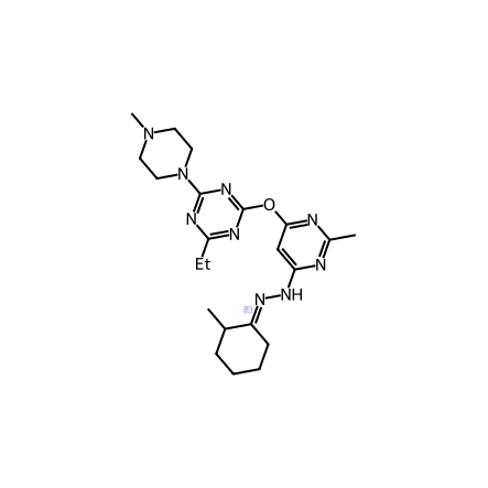 CCc1nc(Oc2cc(N/N=C3\CCCCC3C)nc(C)n2)nc(N2CCN(C)CC2)n1